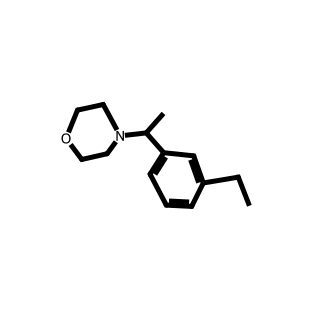 CCc1cccc(C(C)N2CCOCC2)c1